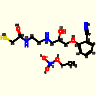 CCO[N+](=O)[O-].N#Cc1ccccc1OCC(O)CNCCNC(=O)CS